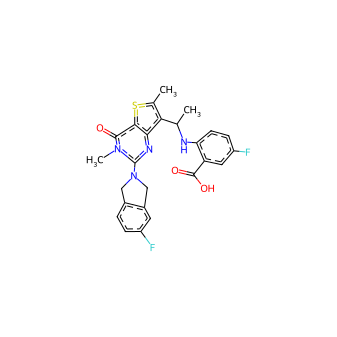 Cc1sc2c(=O)n(C)c(N3Cc4ccc(F)cc4C3)nc2c1C(C)Nc1ccc(F)cc1C(=O)O